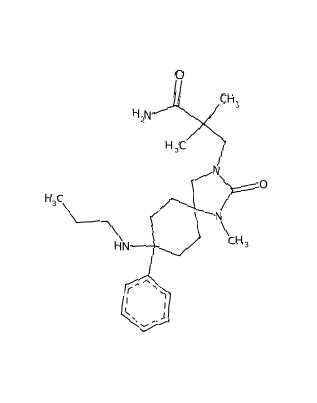 CCCNC1(c2ccccc2)CCC2(CC1)CN(CC(C)(C)C(N)=O)C(=O)N2C